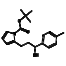 Cc1ccc(C(O)CCc2cccn2C(=O)OC(C)(C)C)cc1